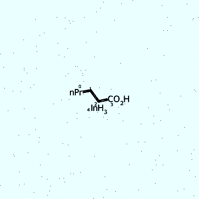 CCCCCC(=O)O.[InH3]